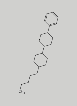 CCCCCC1CCC(C2CCC(c3ccccc3)CC2)CC1